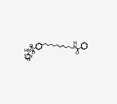 O=C(NCCCCCCCCCCc1ccc(S(=O)(=O)Nc2nncs2)cc1)c1ccccc1